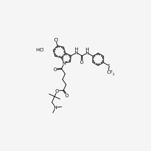 CN(C)CC(C)(C)OC(=O)CCCC(=O)n1cc(NC(=O)Nc2ccc(SC(F)(F)F)cc2)c2cc(Cl)ccc21.Cl